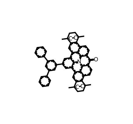 CC12CCC(C)(CC1)c1c2cc2c3cc(-c4cc(-c5ccccc5)cc(-c5ccccc5)c4)cc4c5cc6c(c7ccc8c(=O)c9ccc1c2c9n(c34)c8c75)C1(C)CCC6(C)CC1